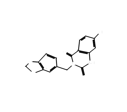 O=c1[nH]c2cc(Cl)ccc2c(=O)n1Cc1ccc2c(c1)OCO2